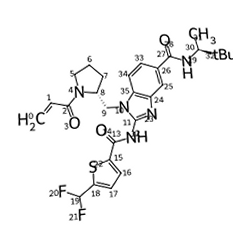 C=CC(=O)N1CCC[C@@H]1Cn1c(NC(=O)c2ccc(C(F)F)s2)nc2cc(C(=O)N[C@@H](C)C(C)(C)C)ccc21